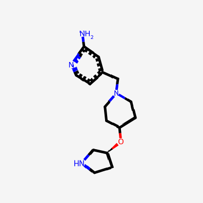 Nc1cc(CN2CCC(O[C@H]3CCNC3)CC2)ccn1